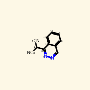 N#CC(C#N)c1nncc2ccccc12